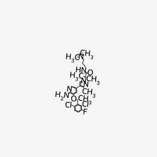 Cc1nn(C(C)(C)C(=O)NCCCN(C)C)cc1-c1cnc(N)c(OC(C)c2c(Cl)ccc(F)c2Cl)c1